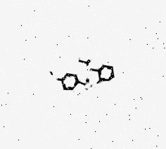 COc1ccc(S(=O)(=O)Nc2ccccc2NC(C)=O)cc1